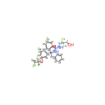 O=C(NCC(F)(F)CO)NC(Cc1ccccc1)(c1ccc(F)cc1)c1cc(F)cc(OC(F)(F)C(F)F)c1